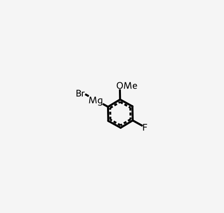 COc1cc(F)cc[c]1[Mg][Br]